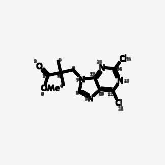 COC(=O)C(C)(C)Cn1cnc2c(Cl)nc(Cl)nc21